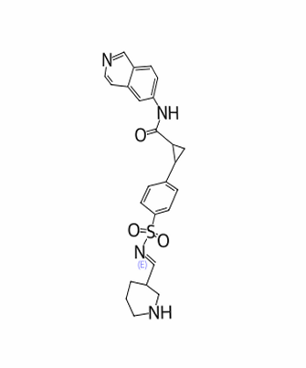 O=C(Nc1ccc2cnccc2c1)C1CC1c1ccc(S(=O)(=O)/N=C/C2CCCNC2)cc1